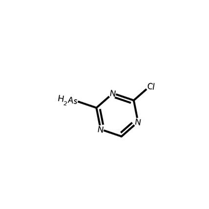 Clc1ncnc([AsH2])n1